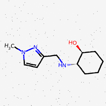 Cn1ccc(CN[C@H]2CCCC[C@@H]2O)n1